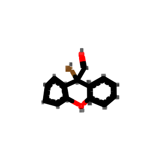 O=CC1(Br)c2ccccc2Oc2ccccc21